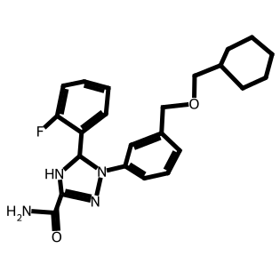 NC(=O)C1=NN(c2cccc(COCC3CCCCC3)c2)C(c2ccccc2F)N1